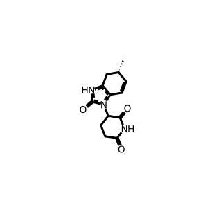 C[C@@H]1C=Cc2c([nH]c(=O)n2C2CCC(=O)NC2=O)C1